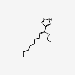 CCCCCCCC=C(OCC)c1c[nH]nn1